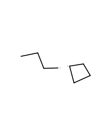 [CH2]CCC.[CH]1CCC1